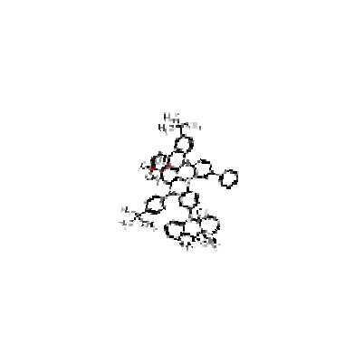 CC(C)(C)c1ccc(N2c3cc(N4c5ccccc5C(C)(C)C5(C)CCCCC45C)ccc3B3c4cc(-c5ccccc5)ccc4N(c4ccc(C(C)(C)C)cc4-c4ccccc4)c4cc(C(C)(C)C)cc2c43)cc1